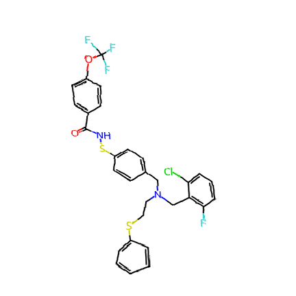 O=C(NSc1ccc(CN(CCSc2ccccc2)Cc2c(F)cccc2Cl)cc1)c1ccc(OC(F)(F)F)cc1